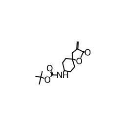 C=C1CC2(CCC(NC(=O)OC(C)(C)C)CC2)OC1=O